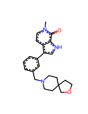 Cn1ccc2c(-c3cccc(CN4CCC5(CCOC5)CC4)c3)c[nH]c2c1=O